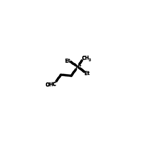 CC[N+](C)(CC)CCC=O